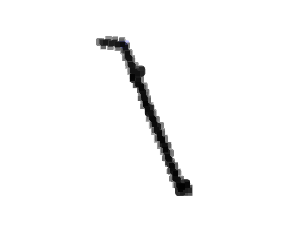 CCCCCC/C=C\CCCCCCCC(=O)OCCCCCCCCCCCCCCCCCCCCCCCCCCCCCCCCC(=O)O